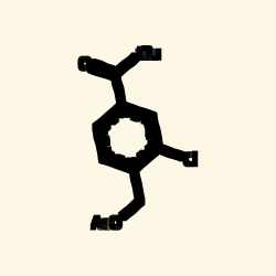 CC(=O)OCc1ccc(C(=O)C(C)(C)C)cc1Cl